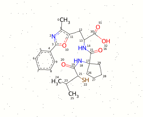 Cc1nc(-c2ccccc2)oc1CC(NC(=O)C1(NC(=O)C(S)C(C)C)CCCC1)C(=O)O